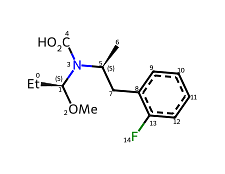 CC[C@H](OC)N(C(=O)O)[C@@H](C)Cc1ccccc1F